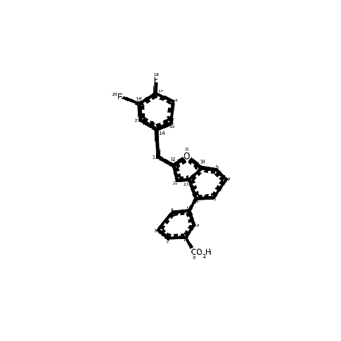 O=C(O)c1cccc(-c2cccc3oc(Cc4ccc(F)c(F)c4)cc23)c1